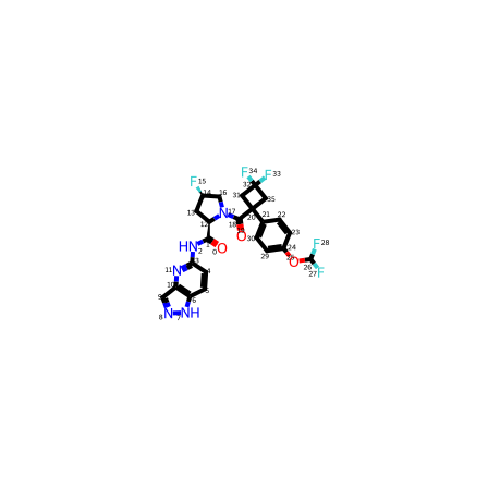 O=C(Nc1ccc2[nH]ncc2n1)[C@H]1C[C@@H](F)CN1C(=O)C1(c2ccc(OC(F)F)cc2)CC(F)(F)C1